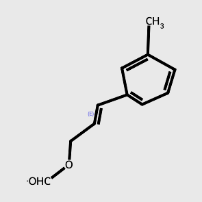 Cc1cccc(/C=C/CO[C]=O)c1